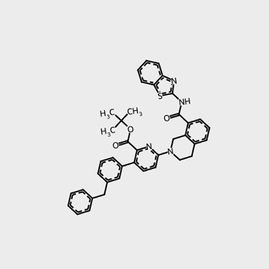 CC(C)(C)OC(=O)c1nc(N2CCc3cccc(C(=O)Nc4nc5ccccc5s4)c3C2)ccc1-c1cccc(Cc2ccccc2)c1